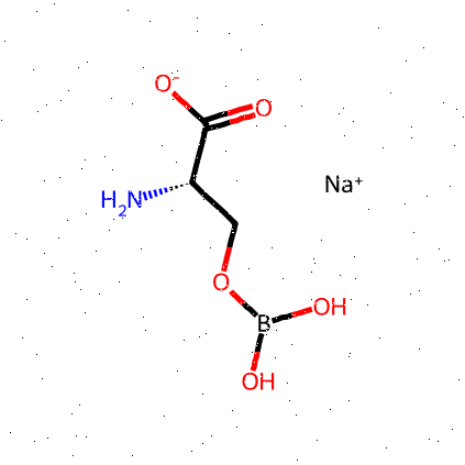 N[C@@H](COB(O)O)C(=O)[O-].[Na+]